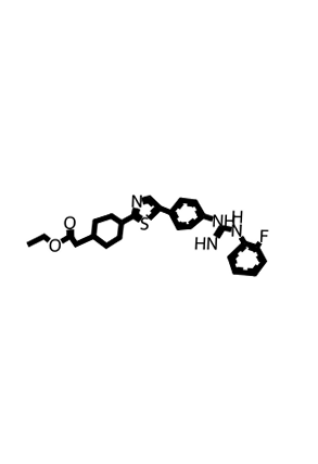 CCOC(=O)CC1CCC(c2ncc(-c3ccc(NC(=N)Nc4ccccc4F)cc3)s2)CC1